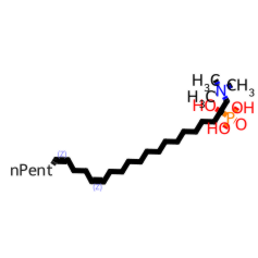 CCCCC/C=C\CC/C=C\CCCCCCCCCCCCC(O)(C[N+](C)(C)C)P(=O)(O)O